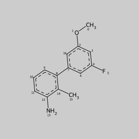 COc1cc(F)cc(-c2cccc(N)c2C)c1